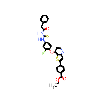 CCOC(=O)c1ccc(-c2cc3nccc(Oc4ccc(NC(=S)NC(=O)Cc5ccccc5)cc4F)c3s2)cc1